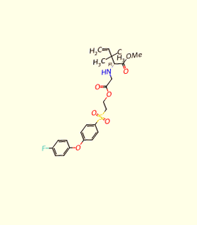 C=CC(C)(C)[C@@H](NCC(=O)OCCS(=O)(=O)c1ccc(Oc2ccc(F)cc2)cc1)C(=O)OC